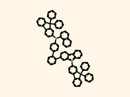 c1ccc(C2(c3ccccc3)c3ccccc3-c3ccc(N(c4ccc(-c5ccccc5-c5ccc6c7ccccc7n(-c7ccc8c(c7)C(c7ccccc7)(c7ccccc7)c7ccccc7-8)c6c5)cc4)c4cccc5ccccc45)cc32)cc1